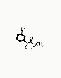 [CH2]OC(=O)N(C)c1cccc(Br)c1